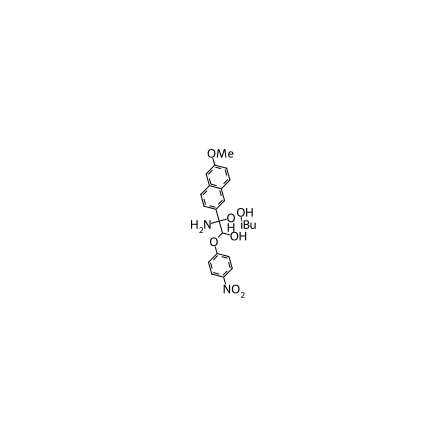 CCC(C)O.COc1ccc2cc(C(N)(O)C(O)Oc3ccc([N+](=O)[O-])cc3)ccc2c1